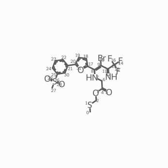 CSCOC(=O)CN/C(=C(/Br)C(=N)C(F)(F)F)c1ccc(-c2cccc(S(C)(=O)=O)c2)o1